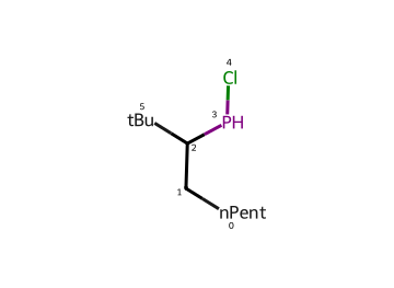 CCCCCCC(PCl)C(C)(C)C